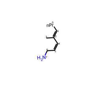 CCC/C=C(C)/C=C\CN